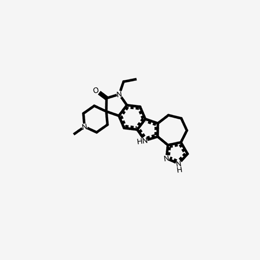 CCN1C(=O)C2(CCN(C)CC2)c2cc3[nH]c4c(c3cc21)CCCc1c[nH]nc1-4